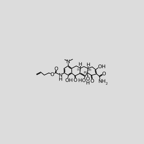 C=CCCOC(=O)Nc1cc(N(C)C)c2c(c1O)C(=O)C1=C(O)[C@@]3(O)C(=O)C(C(N)=O)=C(O)C[C@H]3C[C@H]1C2